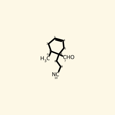 CC1CC=CCC1(C=O)CCC#N